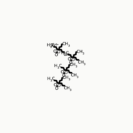 CCCCC(CCCC)(CCCC)OC(=O)[O-].CCCCC(CCCC)(CCCC)OC(=O)[O-].CCCCC(CCCC)(CCCC)OC(=O)[O-].CCCCC(CCCC)(CCCC)OC(=O)[O-].[Sn+4]